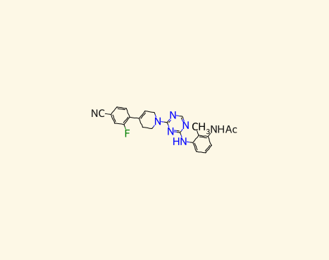 CC(=O)Nc1cccc(Nc2ncnc(N3CC=C(c4ccc(C#N)cc4F)CC3)n2)c1C